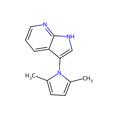 Cc1ccc(C)n1-c1c[nH]c2ncccc12